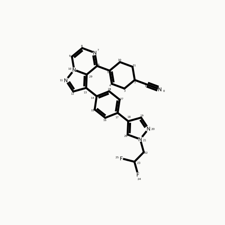 N#CC1CC=C(c2nccn3ncc(-c4ccc(-c5cnn(CC(F)F)c5)cc4)c23)CC1